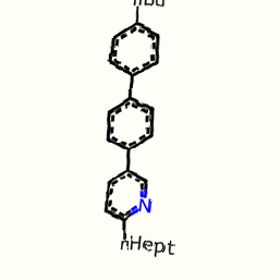 CCCCCCCc1ccc(-c2ccc(-c3ccc(CCCC)cc3)cc2)cn1